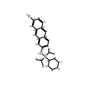 CC(C)[Si](Oc1ccc2cc3ccc(F)[c]c3cc2c1)(C(C)C)C1CCCCC1